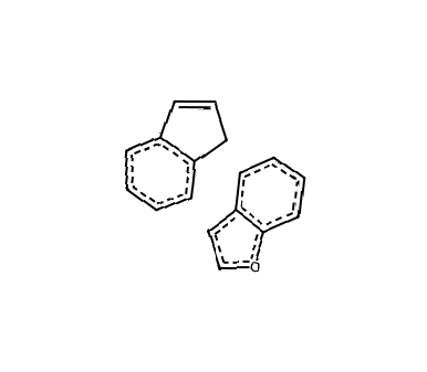 C1=Cc2ccccc2C1.c1ccc2occc2c1